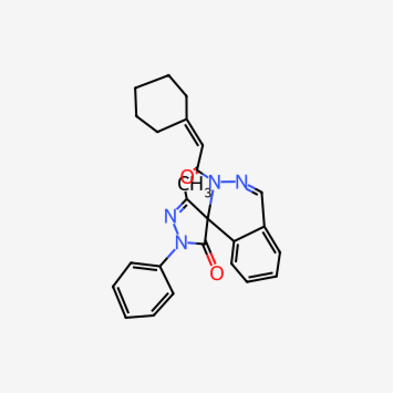 CC1=NN(c2ccccc2)C(=O)C12c1ccccc1C=NN2C(=O)C=C1CCCCC1